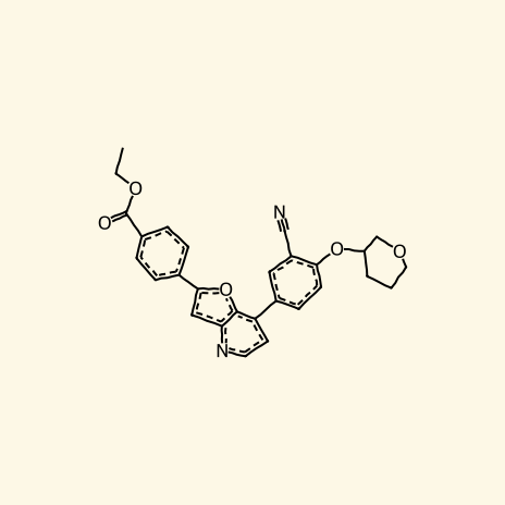 CCOC(=O)c1ccc(-c2cc3nccc(-c4ccc(OC5CCCOC5)c(C#N)c4)c3o2)cc1